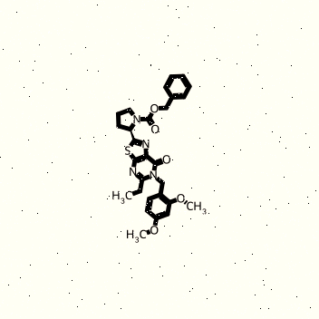 CCc1nc2sc([C@H]3CCCN3C(=O)OCc3ccccc3)nc2c(=O)n1Cc1ccc(OC)cc1OC